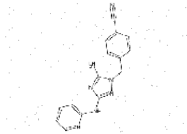 N#Cc1ccc(Cn2nc(Nc3ccccn3)nc2N)cc1